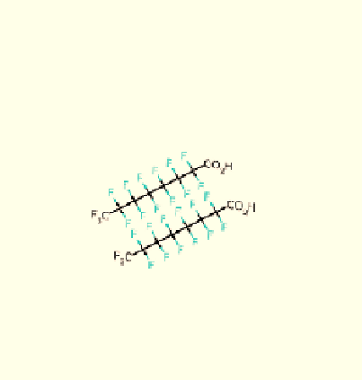 O=C(O)C(F)(F)C(F)(F)C(F)(F)C(F)(F)C(F)(F)C(F)(F)C(F)(F)F.O=C(O)C(F)(F)C(F)(F)C(F)(F)C(F)(F)C(F)(F)C(F)(F)C(F)(F)F